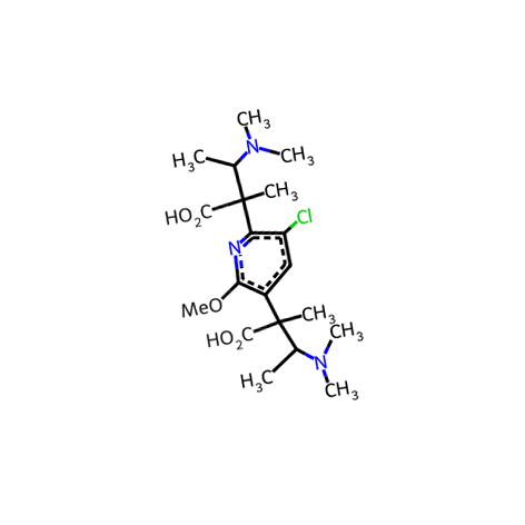 COc1nc(C(C)(C(=O)O)C(C)N(C)C)c(Cl)cc1C(C)(C(=O)O)C(C)N(C)C